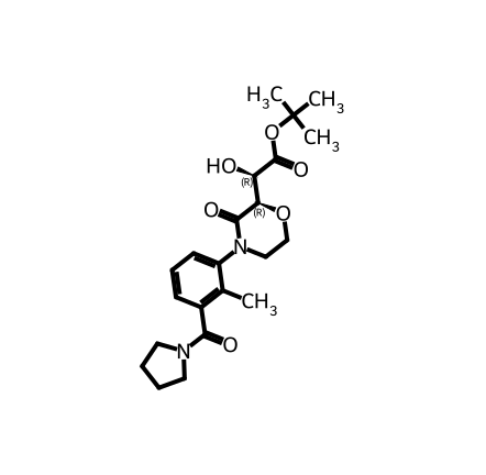 Cc1c(C(=O)N2CCCC2)cccc1N1CCO[C@H]([C@@H](O)C(=O)OC(C)(C)C)C1=O